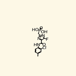 Cc1ccc(NC(=O)c2nn(CP(=O)(O)O)nc2F)c(Cl)c1